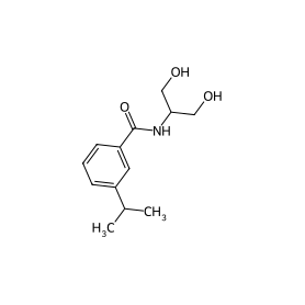 CC(C)c1cccc(C(=O)NC(CO)CO)c1